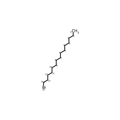 CCCCCCCCCCCCCC[CH]Br